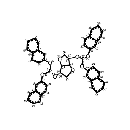 c1ccc2cc(OP(Oc3ccc4ccccc4c3)O[C@@H]3COC4C3OC[C@H]4OP(Oc3ccc4ccccc4c3)Oc3ccc4ccccc4c3)ccc2c1